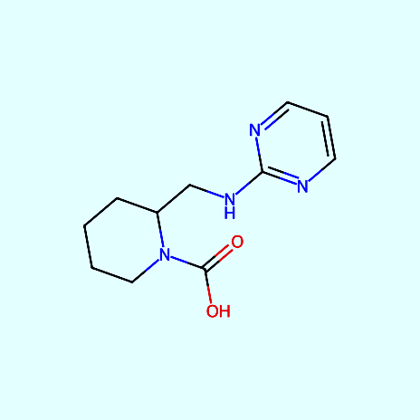 O=C(O)N1CCCCC1CNc1ncccn1